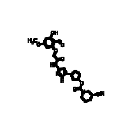 COc1cc(O)c(C=O)c(OCC(=O)Nc2cc([C@H]3CC[C@@H](OC(=O)N4CCC[C@H](C#N)C4)C3)[nH]n2)c1